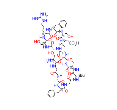 CC[C@H](C)[C@H](NC(=O)CNC(=O)[C@H](Cc1ccccc1)NC(=O)CNC(=O)CNC(=O)[C@@H](N)CO)C(=O)N[C@@H](CO)C(=O)NCC(=O)N[C@@H](CC(C)C)C(=O)NCC(=O)N[C@@H](CO)C(=O)N[C@@H](CCCNC(=N)N)C(=O)N[C@@H](Cc1ccccc1)C(=O)N[C@@H](CO)C(=O)NCC(=O)O